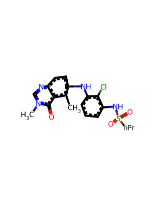 CCCS(=O)(=O)Nc1cccc(Nc2ccc3ncn(C)c(=O)c3c2C)c1Cl